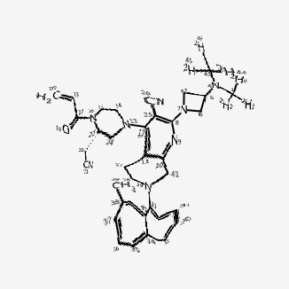 [2H]C([2H])([2H])N(C1CN(c2nc3c(c(N4CCN(C(=O)C=C)[C@@H](CC#N)C4)c2C#N)CCN(c2cccc4cccc(C)c24)C3)C1)C([2H])([2H])[2H]